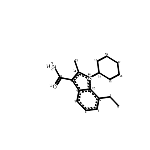 CCc1cccc2c(C(N)=O)c(C)n(C3CCCCC3)c12